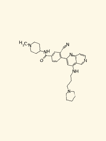 CN1CCC(NC(=O)c2ccc(-c3cc(NCCCN4CCCCC4)c4cnccc4n3)c(C#N)c2)CC1